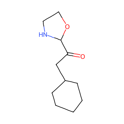 O=C(CC1CCCCC1)C1NCCO1